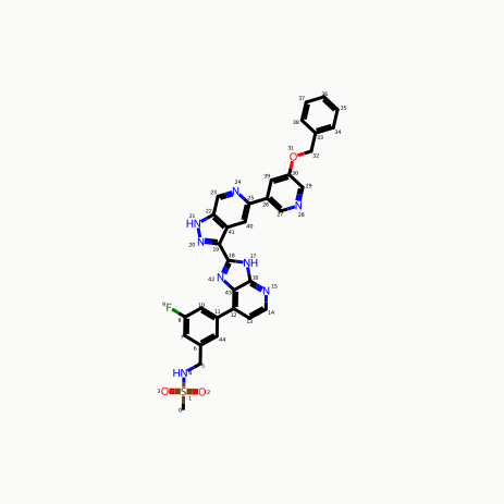 CS(=O)(=O)NCc1cc(F)cc(-c2ccnc3[nH]c(-c4n[nH]c5cnc(-c6cncc(OCc7ccccc7)c6)cc45)nc23)c1